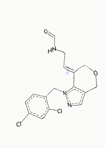 O=CNC/C=C1\COCc2cnn(Cc3ccc(Cl)cc3Cl)c21